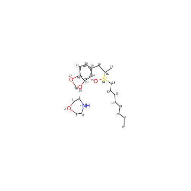 C1COCCN1.CCCCCCCC[S+]([O-])C(C)Cc1ccc2c(c1)OCO2